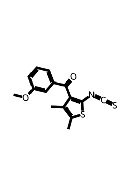 COc1cccc(C(=O)c2c(N=C=S)sc(C)c2C)c1